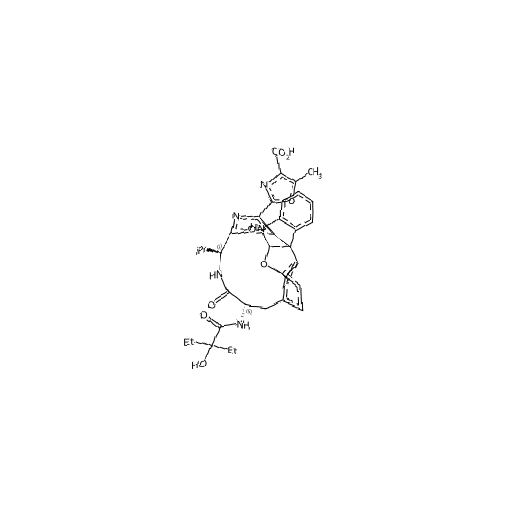 CCC(O)(CC)C(=O)N[C@H]1Cc2ccc3c(c2)C2(c4ccccc4NC2O3)c2oc(nc2-c2nc(C(=O)O)c(C)o2)[C@H](C(C)C)NC1=O